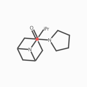 CC(C)N1CC2CC(C1)N2C(=O)N1CCCC1